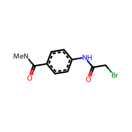 CNC(=O)c1ccc(NC(=O)CBr)cc1